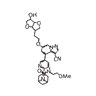 COCCN(C)C(=O)N1C2CC1CN(c1ccc(-c3cc(OCCC4COC5C(O)COC45)cn4ncc(C#N)c34)cn1)C2